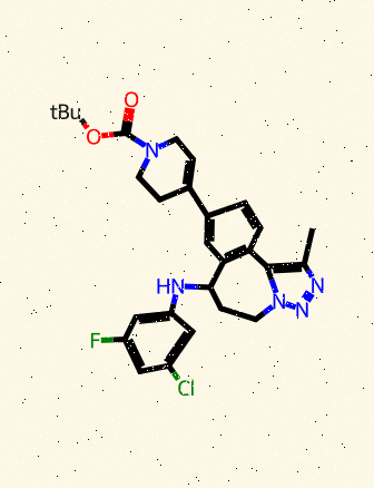 Cc1nnn2c1-c1ccc(C3=CCN(C(=O)OC(C)(C)C)CC3)cc1C(Nc1cc(F)cc(Cl)c1)CC2